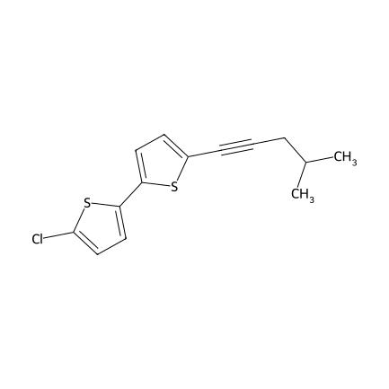 CC(C)CC#Cc1ccc(-c2ccc(Cl)s2)s1